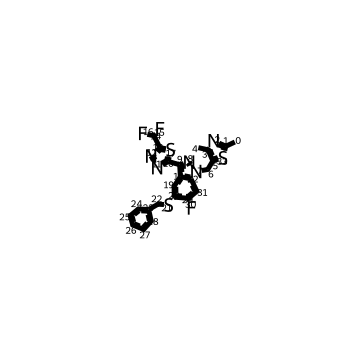 Cc1nc(C)c(Cn2nc(-c3nnc(C(F)F)s3)c3cc(SCc4ccccc4)c(F)cc32)s1